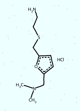 CN(C)Cc1ccc(CSCCN)o1.Cl